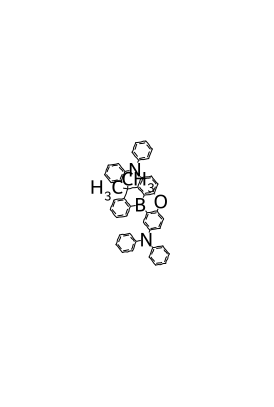 CC1(C)c2ccccc2B2c3cc(N(c4ccccc4)c4ccccc4)ccc3Oc3ccc(N(c4ccccc4)c4ccccc4)c1c32